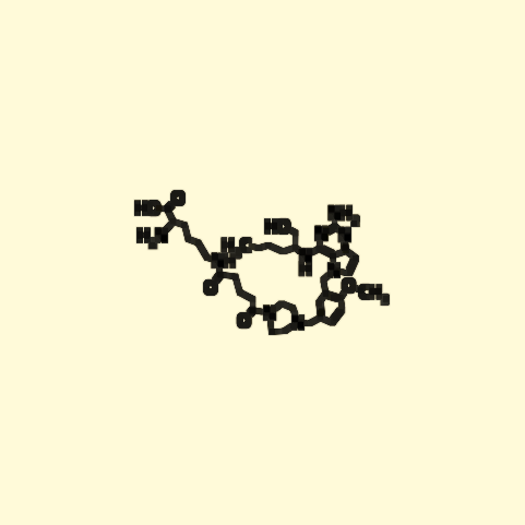 CCCCC(CO)Nc1nc(N)nc2ccn(Cc3cc(CN4CCN(C(=O)CCCC(=O)NCCCCC(N)C(=O)O)CC4)ccc3OC)c12